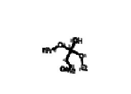 CCCOC(O)([CH]OC)OCC